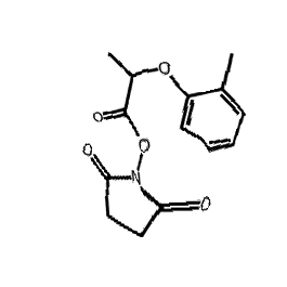 Cc1ccccc1OC(C)C(=O)ON1C(=O)CCC1=O